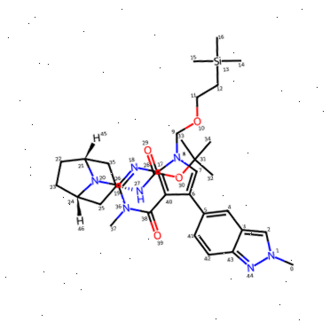 Cn1cc2cc(-c3cn(COCC[Si](C)(C)C)c4nc(N5[C@@H]6CC[C@H]5C[C@@H](NC(=O)OC(C)(C)C)C6)n(C)c(=O)c34)ccc2n1